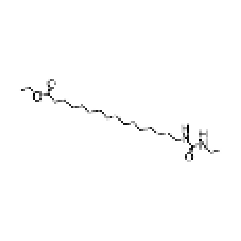 CCNC(=O)NCCCCCCCCCCCCCCCC(=O)OCC